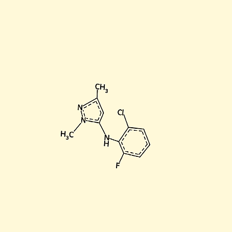 Cc1cc(Nc2c(F)cccc2Cl)n(C)n1